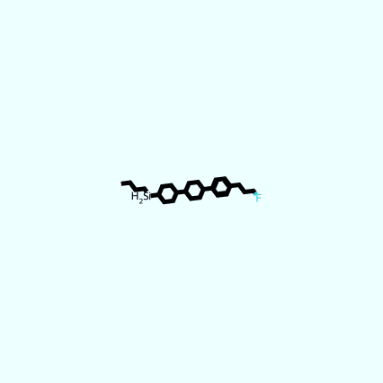 CCCC[SiH2]C1CCC(C2CCC(c3ccc(CCCF)cc3)CC2)CC1